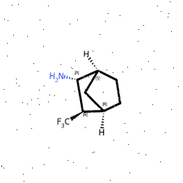 N[C@@H]1[C@H]2CC[C@H](C2)[C@H]1C(F)(F)F